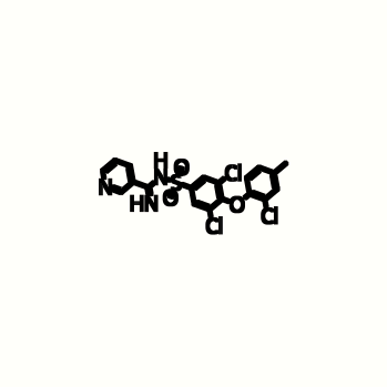 Cc1ccc(Oc2c(Cl)cc(S(=O)(=O)NC(=N)c3cccnc3)cc2Cl)c(Cl)c1